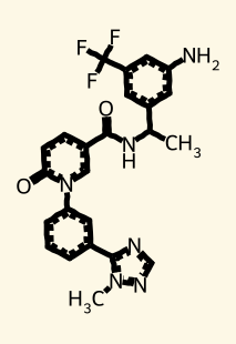 CC(NC(=O)c1ccc(=O)n(-c2cccc(-c3ncnn3C)c2)c1)c1cc(N)cc(C(F)(F)F)c1